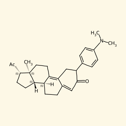 CC(=O)[C@H]1CC[C@H]2[C@@H]3CCC4=CC(=O)C(c5ccc(N(C)C)cc5)CC4=C3CC[C@]12C